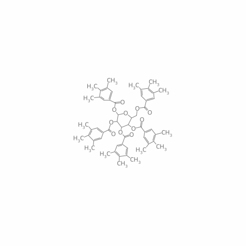 Cc1cc(C(=O)OCC2OC(OC(=O)c3cc(C)c(C)c(C)c3)C(OC(=O)c3cc(C)c(C)c(C)c3)C(OC(=O)c3cc(C)c(C)c(C)c3)C2OC(=O)c2cc(C)c(C)c(C)c2)cc(C)c1C